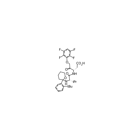 CC(C)[C@H](NC1(c2ccccc2C(C)(C)C)CCCCO1)C(=O)N[C@@H](CC(=O)O)C(=O)COc1c(F)c(F)cc(F)c1F